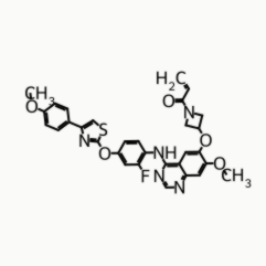 C=CC(=O)N1CC(Oc2cc3c(Nc4ccc(Oc5nc(-c6ccc(OC)cc6)cs5)cc4F)ncnc3cc2OC)C1